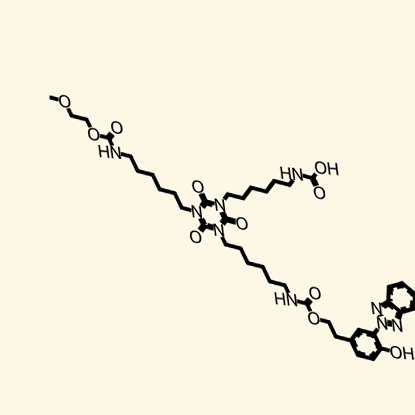 COCCOC(=O)NCCCCCCn1c(=O)n(CCCCCCNC(=O)O)c(=O)n(CCCCCCNC(=O)OCCc2ccc(O)c(-n3nc4ccccc4n3)c2)c1=O